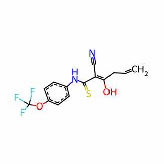 C=CC/C(O)=C(\C#N)C(=S)Nc1ccc(OC(F)(F)F)cc1